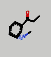 CCC(=O)c1ccccc1.CN